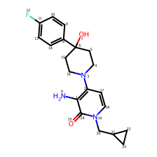 Nc1c(N2CCC(O)(c3ccc(F)cc3)CC2)ccn(CC2CC2)c1=O